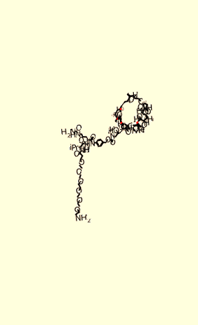 C=C1C[C@@H]2CC[C@@]34C[C@H]5OC6C(O[C@H]7CC[C@H](CC(=O)C[C@@H]8[C@@H](OC)[C@@H](C[C@H](O)CNC(=O)OCc9ccc(NC(=O)[C@H](CCCNC(N)=O)NC(=O)[C@@H](NC(=O)CCOCCOCCOCCOCCOCCOCCN)C(C)C)cc9)O[C@H]8C[C@H]8O[C@@H](CCC1O2)C[C@@H](C)C8=C)O[C@@H]7[C@@H]6O3)[C@H]5O4